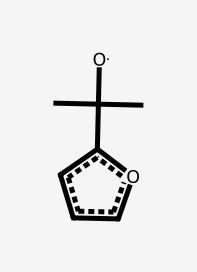 CC(C)([O])c1ccco1